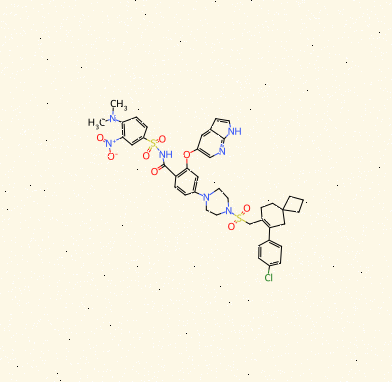 CN(C)c1ccc(S(=O)(=O)NC(=O)c2ccc(N3CCN(S(=O)(=O)CC4=C(c5ccc(Cl)cc5)CC5(CCC5)CC4)CC3)cc2Oc2cnc3[nH]ccc3c2)cc1[N+](=O)[O-]